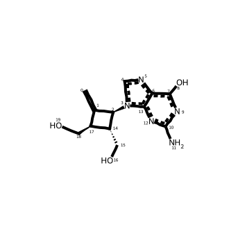 C=C1[C@@H](n2cnc3c(O)nc(N)nc32)[C@H](CO)[C@H]1CO